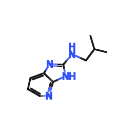 CC(C)CNc1nc2cccnc2[nH]1